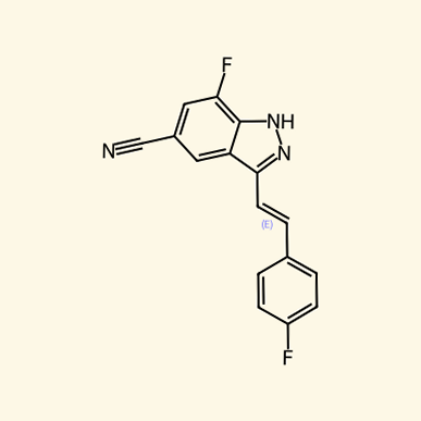 N#Cc1cc(F)c2[nH]nc(/C=C/c3ccc(F)cc3)c2c1